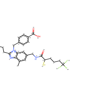 CCCc1nc2c(C)cc(CNC(=O)C(S)CCCC(F)(F)F)cc2n1Cc1ccc(C(=O)O)cc1